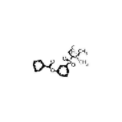 CCC(N(C)C)S(=O)(=O)c1cccc(OC(=O)c2ccccc2)c1